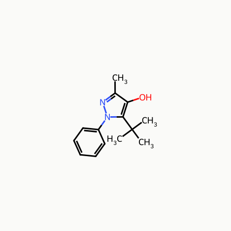 Cc1nn(-c2ccccc2)c(C(C)(C)C)c1O